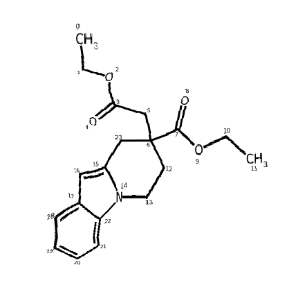 CCOC(=O)CC1(C(=O)OCC)CCn2c(cc3ccccc32)C1